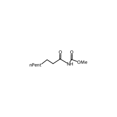 CCCCCCCC(=O)NC(=O)OC